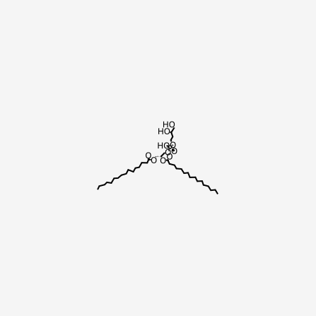 CCCCCCCCCCCCCCCC(=O)OC[C@H](COP(=O)(O)OCCC(O)CO)OC(=O)CCCCCCCCCCCCCCC